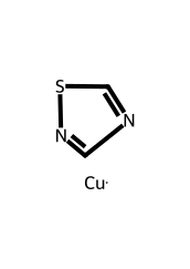 [Cu].c1ncsn1